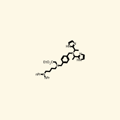 CCCN(CCC)CCCCN(CC(=O)OCC)Cc1ccc(CN(C(C)c2ncc[nH]2)C(C)c2ncc[nH]2)cc1